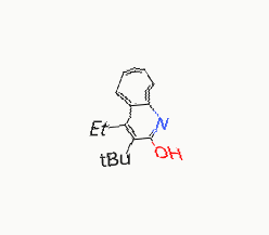 CCc1c(C(C)(C)C)c(O)nc2ccccc12